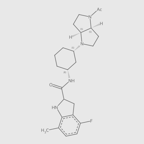 CC(=O)N1CC[C@H]2[C@@H]1CCN2[C@H]1CCC[C@@H](NC(=O)C2Cc3c(F)ccc(C)c3N2)C1